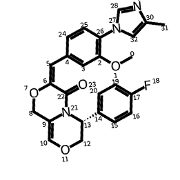 COc1cc(C=C2OCC3=COC[C@@H](c4ccc(F)cc4)N3C2=O)ccc1-n1cnc(C)c1